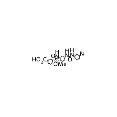 COc1ccc(C(=O)O)cc1S(=O)(=O)Nc1cccc(NC(=O)Nc2cccc(N(C)C)c2)c1